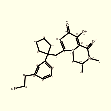 C[C@H]1Cn2c(CC3(c4cccc(CCF)c4)CCCC3)nc(=O)c(O)c2C(=O)N1C